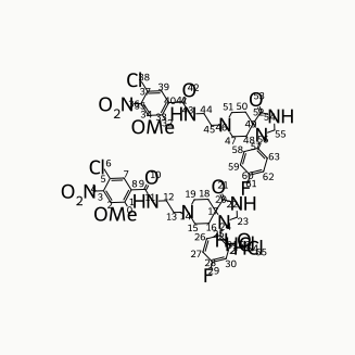 COc1cc([N+](=O)[O-])c(Cl)cc1C(=O)NCCN1CCC2(CC1)C(=O)NCN2c1ccc(F)cc1.COc1cc([N+](=O)[O-])c(Cl)cc1C(=O)NCCN1CCC2(CC1)C(=O)NCN2c1ccc(F)cc1.Cl.Cl.O